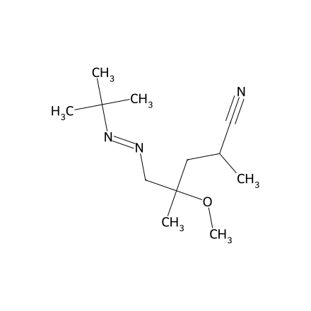 COC(C)(CN=NC(C)(C)C)CC(C)C#N